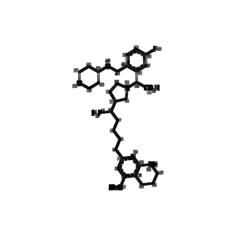 COc1cc(CCCCC(P)C2CCN(C(C(=O)O)c3cc(F)ccc3COC3CCOCC3)C2)nc2c1CCCN2